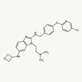 CN(C)CCn1c(NCc2ccc(Oc3ccc(Cl)cn3)cc2)nc2ccc(NC3COC3)cc21